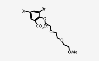 CCOC(=O)c1cc(Br)cc(Br)c1OCCOCCOCCOC